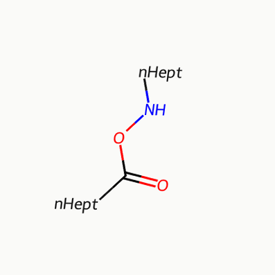 CCCCCCCNOC(=O)CCCCCCC